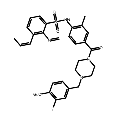 C=Nc1c(/C=C\C)cccc1S(=O)(=O)Nc1ccc(C(=O)N2CCN(Cc3ccc(OC)c(F)c3)CC2)cc1C